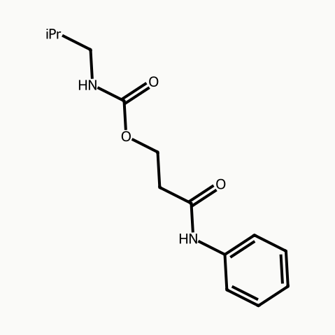 CC(C)CNC(=O)OCCC(=O)Nc1ccccc1